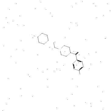 N[C@H]1CC[C@H](CCN2CCC(C(=O)c3ccc(Cl)cc3)CC2)CC1